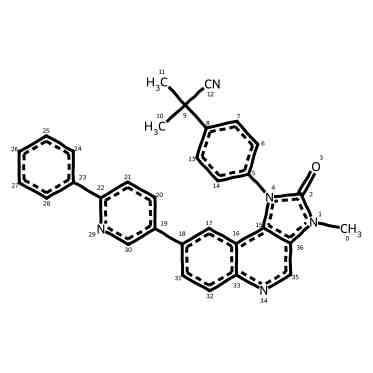 Cn1c(=O)n(-c2ccc(C(C)(C)C#N)cc2)c2c3cc(-c4ccc(-c5ccccc5)nc4)ccc3ncc21